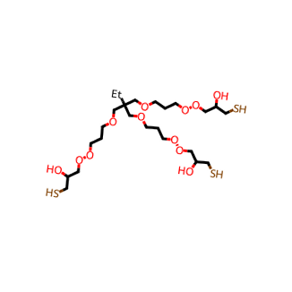 CCC(COCCCOOCC(O)CS)(COCCCOOCC(O)CS)COCCCOOCC(O)CS